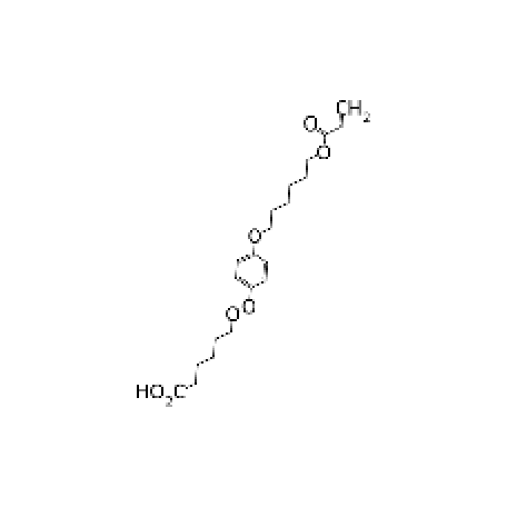 C=CC(=O)OCCCCCCOc1ccc(OOCCCCCC(=O)O)cc1